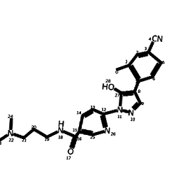 Cc1cc(C#N)ccc1-c1cnn(-c2ccc(C(=O)NCCCN(C)C)cn2)c1O